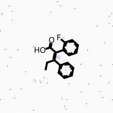 CC/C(=C(\C(=O)O)c1ccccc1F)c1ccccc1